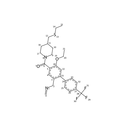 C=NCc1cc(C(=O)N2CCC(CSCC)CC2)c(OCC)cc1-c1ccc(C(F)(F)F)cc1